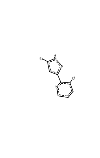 [CH2]Cc1cc(-c2ncccc2Cl)n[nH]1